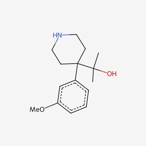 COc1cccc(C2(C(C)(C)O)CCNCC2)c1